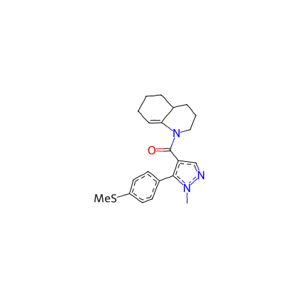 CSc1ccc(-c2c(C(=O)N3CCCC4CCCC=C43)cnn2C)cc1